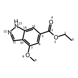 CCOC(=O)c1cc(OC)c2cn[nH]c2c1